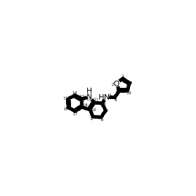 c1coc(CNC2CCCc3c2[nH]c2ccccc32)c1